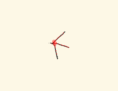 [CH2]CCc1cc(OCCCCCCCCCCCCCCCCCCC)c(OCCCCCCCCCCCCCCCCCCC)c(OCCCCCCCCCCCCCCCCCCC)c1